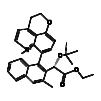 CCOC(=O)[C@@H](OC(C)(C)C)c1c(C)cc2ccccc2c1-c1ccc2c3c(cc[n+](C)c13)CCO2